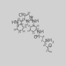 C=CC(=O)CC(N)CCC(=O)Nc1cccc(NC2=NC=C(Cl)C(c3c[nH]c4ccccc34)N2C)c1